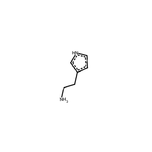 NCCc1cc[nH]c1